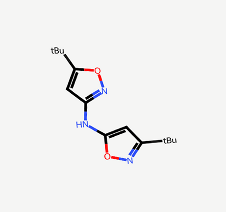 CC(C)(C)c1cc(Nc2cc(C(C)(C)C)on2)on1